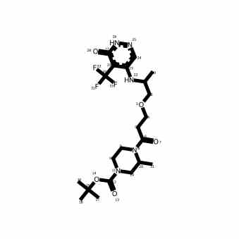 CC(COCCC(=O)N1CCN(C(=O)OC(C)(C)C)CC1C)Nc1cn[nH]c(=O)c1C(F)(F)F